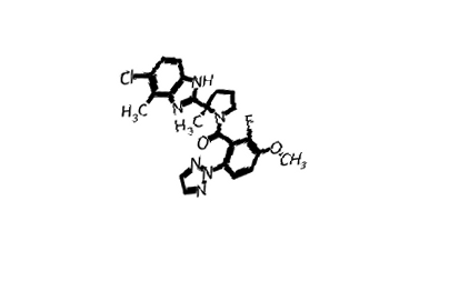 COc1ccc(-n2nccn2)c(C(=O)N2CCC[C@@]2(C)c2nc3c(C)c(Cl)ccc3[nH]2)c1F